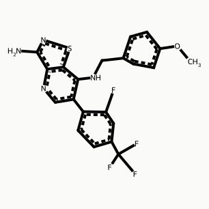 COc1ccc(CNc2c(-c3ccc(C(F)(F)F)cc3F)cnc3c(N)nsc23)cc1